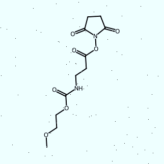 COCCOC(=O)NCCC(=O)ON1C(=O)CCC1=O